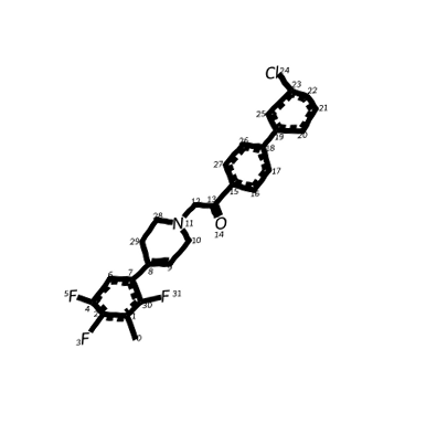 Cc1c(F)c(F)cc(C2=CCN(CC(=O)c3ccc(-c4cccc(Cl)c4)cc3)CC2)c1F